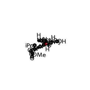 COc1cc2c(nc1N1CCOCC1)COC[C@H]2N1CCN(C2CC3(CCN(c4ccc(C(=O)NS(=O)(=O)c5ccc(NC[C@H]6CC[C@](C)(O)CC6)c([N+](=O)[O-])c5)c(N5c6cc7cc[nH]c7nc6O[C@H]6COCC[C@@H]65)c4)CC3)C2)[C@@H](c2ccccc2OC(C)C)C1